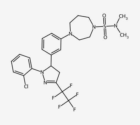 CN(C)S(=O)(=O)N1CCCN(c2cccc(C3CC(C(F)(F)C(F)(F)F)=NN3c3ccccc3Cl)c2)CC1